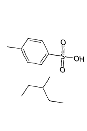 CCC(C)CC.Cc1ccc(S(=O)(=O)O)cc1